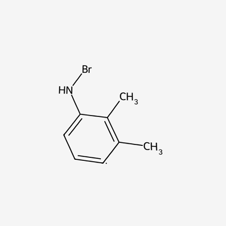 Cc1[c]ccc(NBr)c1C